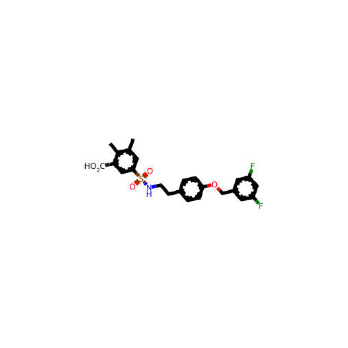 Cc1cc(S(=O)(=O)NCCc2ccc(OCc3cc(F)cc(F)c3)cc2)cc(C(=O)O)c1C